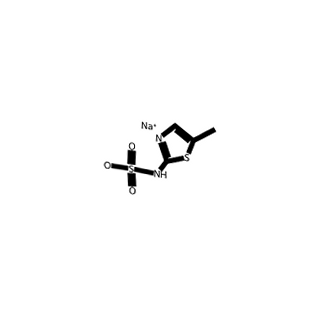 Cc1cnc(NS(=O)(=O)[O-])s1.[Na+]